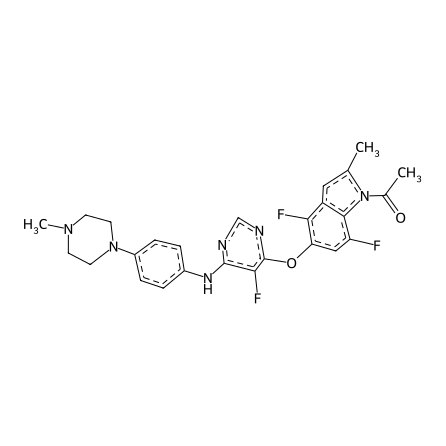 CC(=O)n1c(C)cc2c(F)c(Oc3ncnc(Nc4ccc(N5CCN(C)CC5)cc4)c3F)cc(F)c21